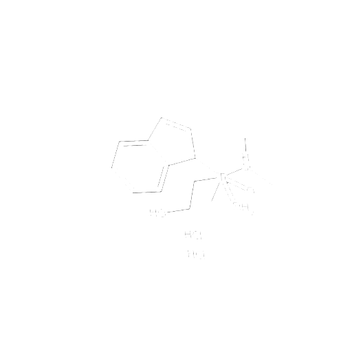 C[SiH](C)[Ti]([CH3])(=[O])(=[SiH2])([CH2]CO)[CH]1C=Cc2ccccc21.Cl.Cl